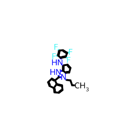 CCCCN1c2cccc(Nc3c(F)c(F)cc(F)c3F)c2NC1c1cccc2ccccc12